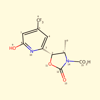 C[C@H]1[C@@H](c2cc(C(F)(F)F)cc(O)n2)OC(=O)N1C(=O)O